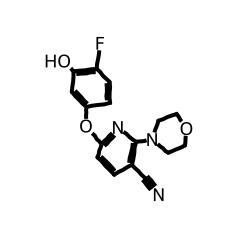 N#Cc1ccc(Oc2ccc(F)c(O)c2)nc1N1CCOCC1